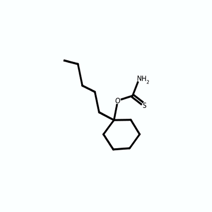 CCCCCC1(OC(N)=S)CCCCC1